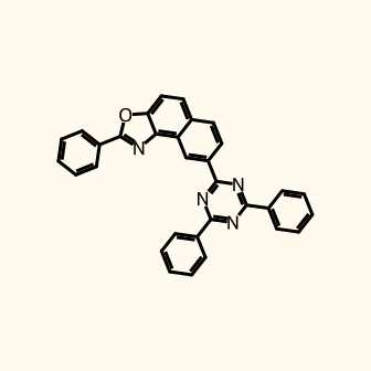 c1ccc(-c2nc(-c3ccccc3)nc(-c3ccc4ccc5oc(-c6ccccc6)nc5c4c3)n2)cc1